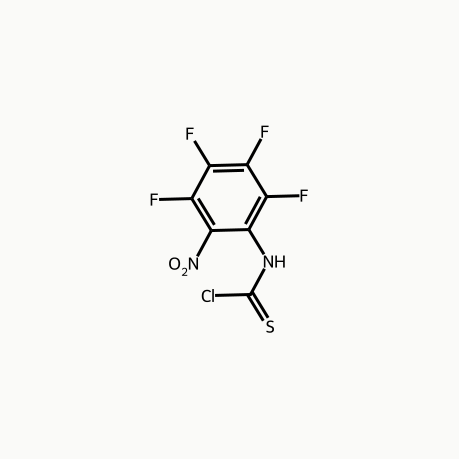 O=[N+]([O-])c1c(F)c(F)c(F)c(F)c1NC(=S)Cl